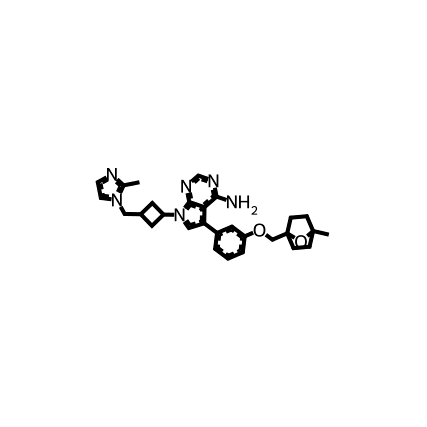 Cc1nccn1CC1CC(n2cc(-c3cccc(OCC45CCC(C)(CC4)O5)c3)c3c(N)ncnc32)C1